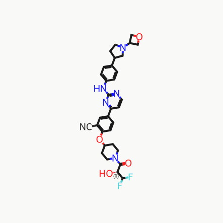 N#Cc1cc(-c2ccnc(Nc3ccc(C4CCN(C5COC5)C4)cc3)n2)ccc1OC1CCN(C(=O)[C@@H](O)C(F)F)CC1